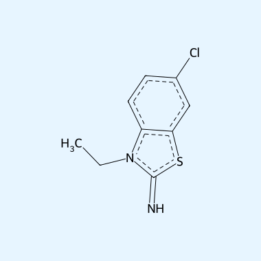 CCn1c(=N)sc2cc(Cl)ccc21